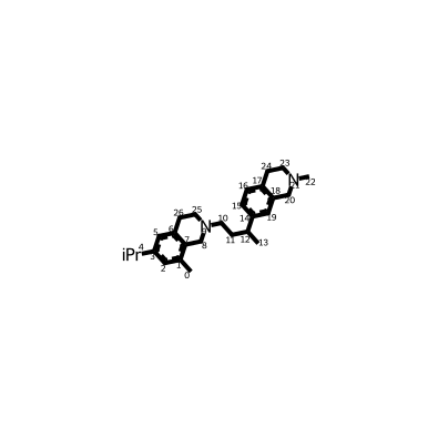 Cc1cc(C(C)C)cc2c1CN(CCC(C)c1ccc3c(c1)CN(C)CC3)CC2